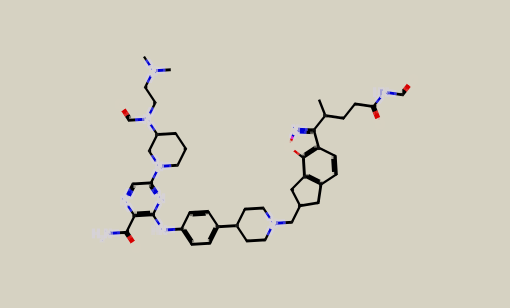 CC(CCC(=O)NC=O)c1noc2c3c(ccc12)CC(CN1CCC(c2ccc(Nc4nc(N5CCCC(N(C=O)CCN(C)C)C5)cnc4C(N)=O)cc2)CC1)C3